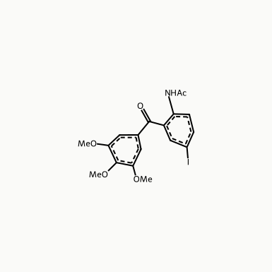 COc1cc(C(=O)c2cc(I)ccc2NC(C)=O)cc(OC)c1OC